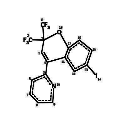 FC(F)(F)C1(C(F)(F)F)C=C(c2ccccn2)c2cc(I)ccc2O1